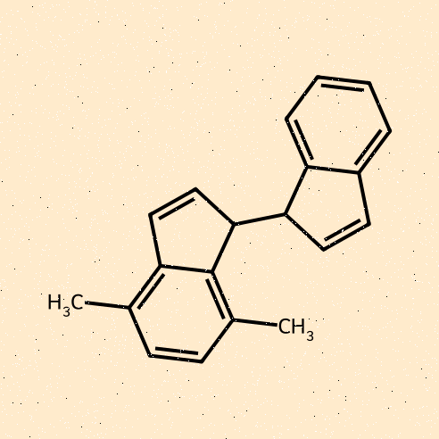 Cc1ccc(C)c2c1C=CC2C1C=Cc2ccccc21